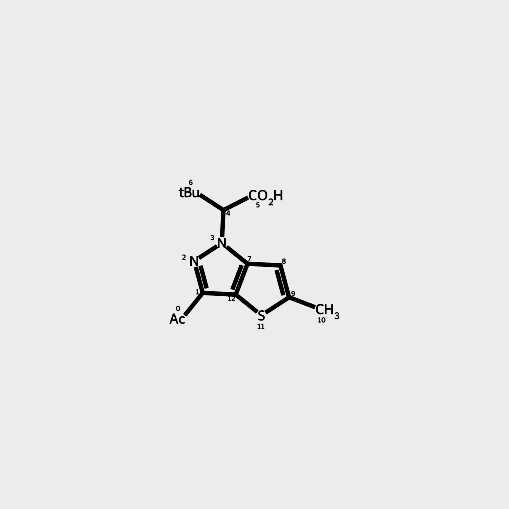 CC(=O)c1nn(C(C(=O)O)C(C)(C)C)c2cc(C)sc12